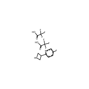 Fc1ccc(C2CNC2)nc1.O=C(O)C(F)(F)F.O=C(O)C(F)(F)F